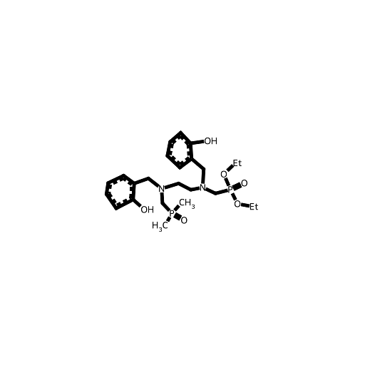 CCOP(=O)(CN(CCN(Cc1ccccc1O)CP(C)(C)=O)Cc1ccccc1O)OCC